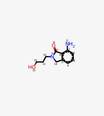 Nc1cccc2c1C(=O)N(CCCO)C2